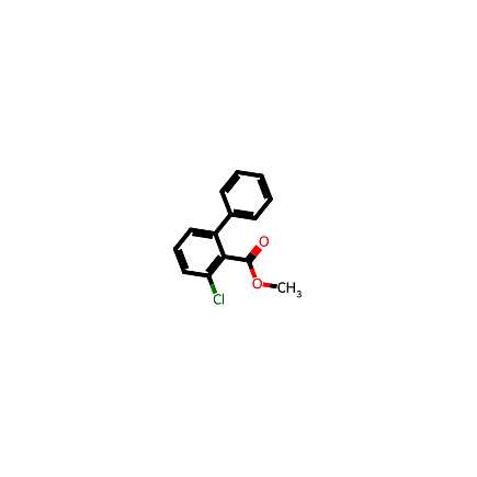 COC(=O)c1c(Cl)cccc1-c1ccccc1